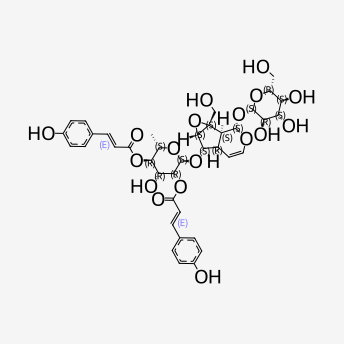 C[C@@H]1O[C@@H](O[C@H]2[C@@H]3C=CO[C@@H](O[C@@H]4O[C@H](CO)[C@@H](O)[C@H](O)[C@H]4O)[C@@H]3[C@@]3(CO)O[C@@H]23)[C@H](OC(=O)/C=C/c2ccc(O)cc2)[C@H](O)[C@H]1OC(=O)/C=C/c1ccc(O)cc1